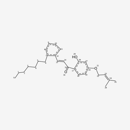 CCCCCCCc1ccccc1C=CC(=O)c1ccc(OCC=C(C)C)cc1O